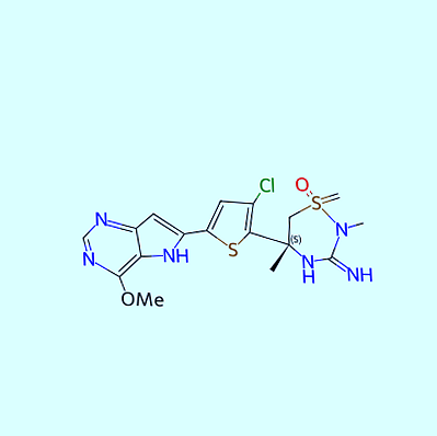 C=S1(=O)C[C@@](C)(c2sc(-c3cc4ncnc(OC)c4[nH]3)cc2Cl)NC(=N)N1C